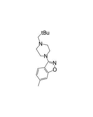 Cc1ccc2c(N3CCN(CC(C)(C)C)CC3)noc2c1